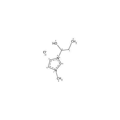 CCC(O)[n+]1ccn(C)c1.[Cl-]